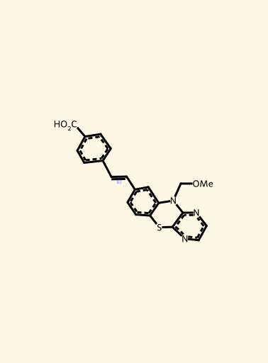 COCN1c2cc(/C=C/c3ccc(C(=O)O)cc3)ccc2Sc2nccnc21